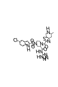 CC1Cc2nc(C(=O)N3CCN(S(=O)(=O)c4cc5cc(Cl)ccc5[nH]4)CC3C(=O)Nc3nnn[nH]3)sc2CN1